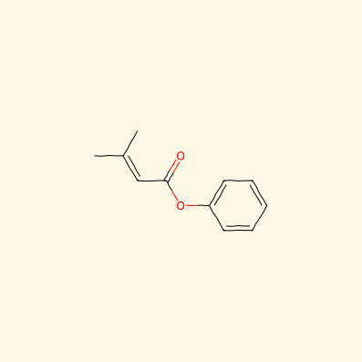 CC(C)=CC(=O)Oc1ccccc1